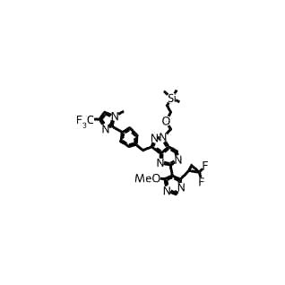 COc1ncnc(C2CC2(F)F)c1-c1ncc2c(n1)c(Cc1ccc(-c3nc(C(F)(F)F)cn3C)cc1)nn2COCC[Si](C)(C)C